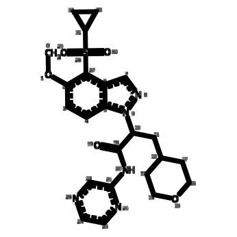 COc1ccc2c(cnn2C(CC2CCOCC2)C(=O)Nc2cnccn2)c1S(=O)(=O)C1CC1